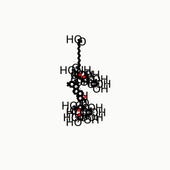 CC1O[C@@H](OC2C(O)[C@@H](NC(=O)CCCCCCCCCCC(=O)O)C(CO)O[C@H]2OC[C@]23CCC(C)(C)CC2C2=CCC4C5(C)CC[C@H](O[C@@H]6OC(C(=O)O)[C@@H](O)[C@H](O[C@@H]7OC[C@@H](O)[C@@H](O)C7O)C6O[C@@H]6OC(CO)[C@@H](O)[C@H](O)C6O)[C@](C)(C=O)[C@@H]5CC[C@]4(C)[C@]2(C)CC3O)C(O)C(O)[C@H]1O[C@@H]1OC[C@@H](O)C(O)C1O